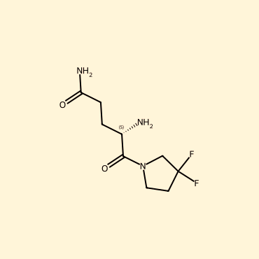 NC(=O)CC[C@H](N)C(=O)N1CCC(F)(F)C1